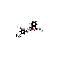 C=CC1(COCc2cc(C(F)(F)F)cc(C(F)(F)F)c2)OC(C)c2ccccc21